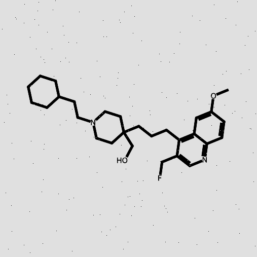 COc1ccc2ncc(CF)c(CCCC3(CO)CCN(CCC4CCCCC4)CC3)c2c1